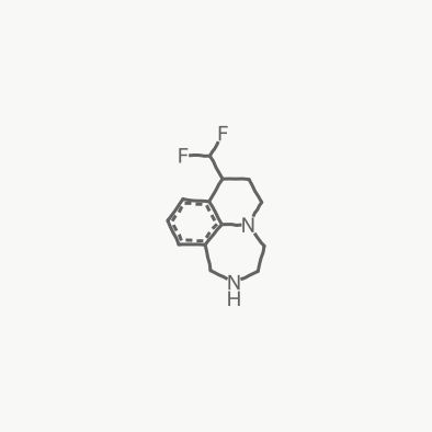 FC(F)C1CCN2CCNCc3cccc1c32